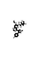 CCOc1cc2ncnc(-c3cn(C)nc3-c3ccc(F)cc3)c2nc1NC(=O)[C@@]12COC[C@@H]1C2